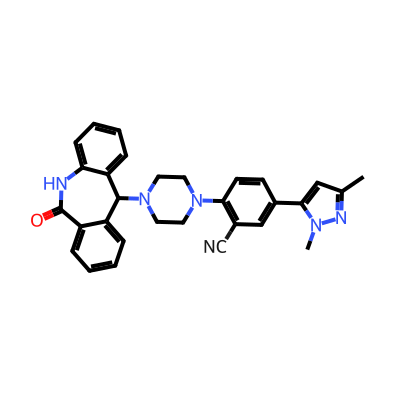 Cc1cc(-c2ccc(N3CCN(C4c5ccccc5NC(=O)c5ccccc54)CC3)c(C#N)c2)n(C)n1